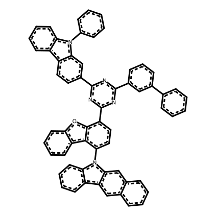 c1ccc(-c2cccc(-c3nc(-c4ccc5c6ccccc6n(-c6ccccc6)c5c4)nc(-c4ccc(-n5c6ccccc6c6cc7ccccc7cc65)c5c4oc4ccccc45)n3)c2)cc1